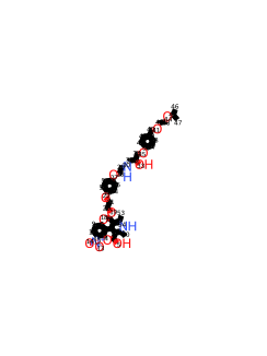 CC1=C(C(=O)O)C(c2cccc([N+](=O)[O-])c2)C(C(=O)OCCOc2ccc(OCCNCC(O)COc3ccc(COCCOC(C)C)cc3)cc2)=C(C)N1